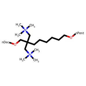 CCCCCCCCCCOCC(CCCCCCOCCCCC)(C[N+](C)(C)C)C[N+](C)(C)C